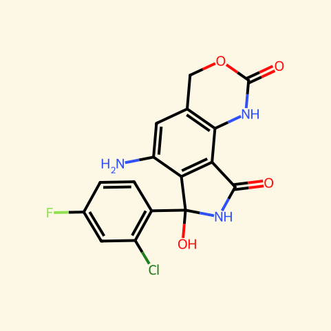 Nc1cc2c(c3c1C(O)(c1ccc(F)cc1Cl)NC3=O)NC(=O)OC2